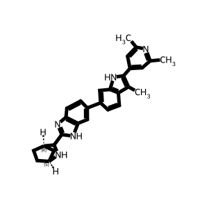 Cc1cc(-c2[nH]c3cc(-c4ccc5nc(C6N[C@H]7CC[C@@H]6C7)[nH]c5c4)ccc3c2C)cc(C)n1